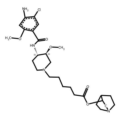 COc1cc(N)c(Cl)cc1C(=O)N[C@H]1CCN(CCCCCC(=O)OC2CN3CCC2CC3)C[C@@H]1OC